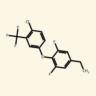 CCc1cc(F)c(Oc2ccc(Cl)c(C(F)(F)F)c2)c(F)c1